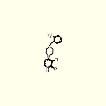 Cc1ccccc1CN1CCN(c2cc[nH]c(=O)c2Cl)CC1